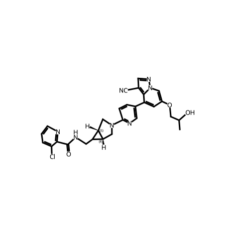 CC(O)COc1cc(-c2ccc(N3C[C@@H]4C(CNC(=O)c5ncccc5Cl)[C@@H]4C3)nc2)c2c(C#N)cnn2c1